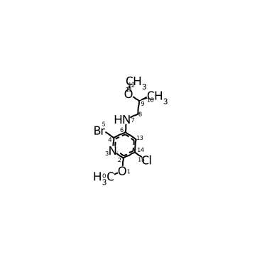 COc1nc(Br)c(NC[C@H](C)OC)cc1Cl